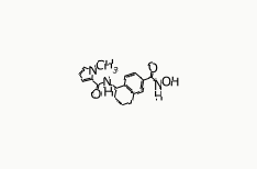 Cn1cccc1C(=O)NC1CCCc2cc(C(=O)NO)ccc21